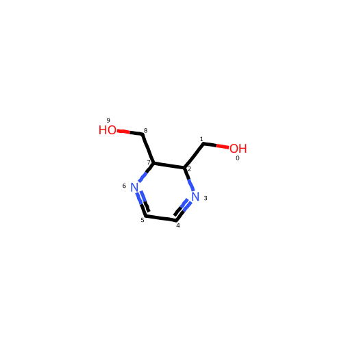 OCC1N=CC=NC1CO